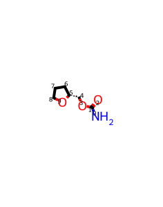 NC(=O)OC[C@H]1CCCO1